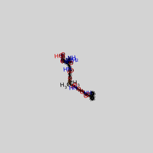 CC(C)(CCOC(=O)NCCOCCOCCNC(=O)OCC1c2ccccc2-c2ccccc21)SSCOCCCCOC(=O)NCC#Cc1cn(C2CO[C@H](CO[PH](=O)O)C2)c2nc(N)[nH]c(=O)c12